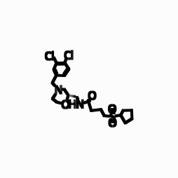 O=C(CCCS(=O)(=O)C1CCCC1)NC[C@H]1CN(Cc2ccc(Cl)c(Cl)c2)CCO1